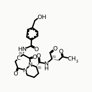 CC(=O)C[C@@H](C=O)NC(=O)[C@@H]1CCCN2C(=O)CC[C@H](NC(=O)c3ccc(CO)cc3)C(=O)N12